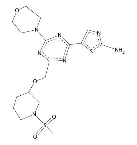 CS(=O)(=O)N1CCCC(OCc2nc(-c3cnc(N)s3)nc(N3CCOCC3)n2)C1